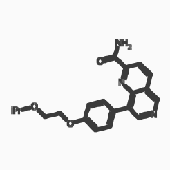 CC(C)OCCOc1ccc(-c2cncc3ccc(C(N)=O)nc23)cc1